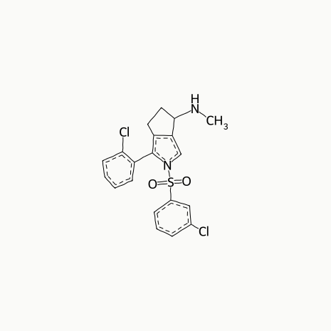 CNC1CCc2c1cn(S(=O)(=O)c1cccc(Cl)c1)c2-c1ccccc1Cl